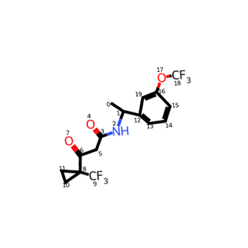 CC(NC(=O)CC(=O)C1(C(F)(F)F)CC1)c1cccc(OC(F)(F)F)c1